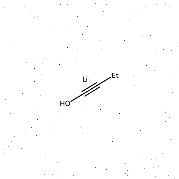 CCC#CO.[Li]